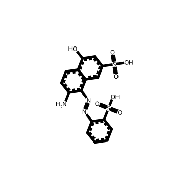 Nc1ccc2c(O)cc(S(=O)(=O)O)cc2c1N=Nc1ccccc1S(=O)(=O)O